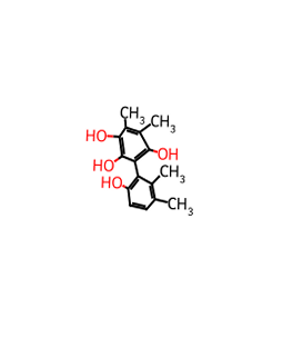 Cc1ccc(O)c(-c2c(O)c(C)c(C)c(O)c2O)c1C